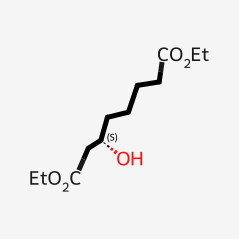 CCOC(=O)CCCC[C@H](O)CC(=O)OCC